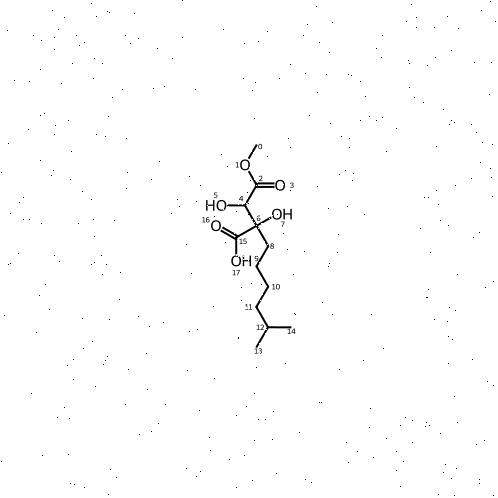 COC(=O)C(O)C(O)(CCCCC(C)C)C(=O)O